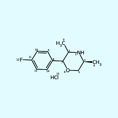 CC1N[C@@H](C)COC1c1ccc(F)cc1.Cl